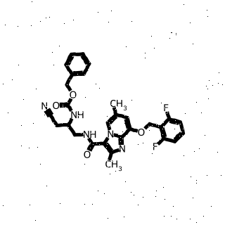 Cc1cc(OCc2c(F)cccc2F)c2nc(C)c(C(=O)NCC(CC#N)NC(=O)OCc3ccccc3)n2c1